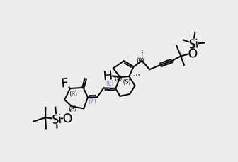 C=C1/C(=C\C=C2/CCC[C@]3(C)C([C@H](C)CC#CC(C)(C)O[Si](C)(C)C)=CC[C@@H]23)C[C@H](O[Si](C)(C)C(C)(C)C)C[C@H]1F